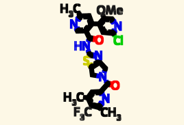 COc1cnc(Cl)cc1-c1cc(C)ncc1C(=O)Nc1nc2c(s1)CN(C(=O)c1cc(C)c(C(F)(F)F)c(C)n1)C2